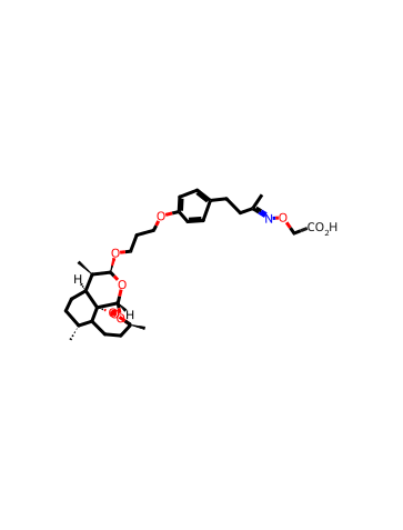 C/C(CCc1ccc(OCCCO[C@H]2O[C@@H]3O[C@@]4(C)CCC5[C@H](C)CC[C@@H]([C@H]2C)[C@]53OO4)cc1)=N\OCC(=O)O